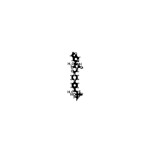 CC(CC(O)(C(F)(F)F)C(F)(F)F)c1ccc(N2CCN(C(=O)CN3C(=O)NC(C)(c4cc5ccoc5cn4)C3=O)CC2)cc1